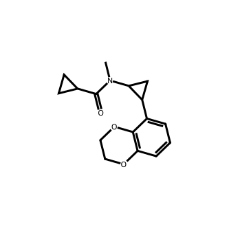 CN(C(=O)C1CC1)C1CC1c1cccc2c1OCCO2